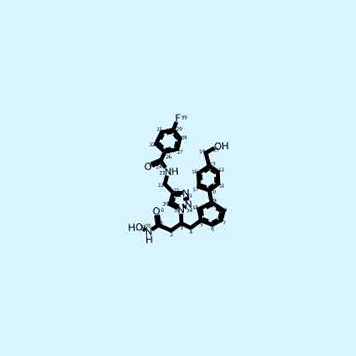 O=C(CC(Cc1cccc(-c2ccc(CO)cc2)c1)n1cc(CNC(=O)c2ccc(F)cc2)nn1)NO